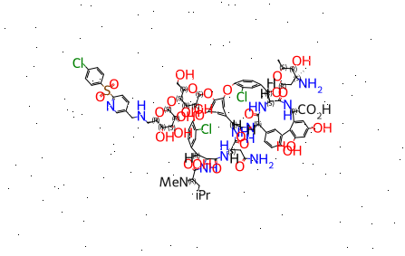 CN[C@H](CC(C)C)C(=O)NC1C(=O)N[C@@H](CC(N)=O)C(=O)N[C@H]2C(=O)N[C@H]3C(=O)N[C@H](C(=O)N[C@@H](C(=O)O)c4cc(O)cc(O)c4-c4cc3ccc4O)[C@H](O[C@H]3C[C@](C)(N)[C@@H](O)[C@H](C)O3)c3ccc(c(Cl)c3)Oc3cc2cc(c3O[C@@H]2O[C@H](CO)[C@@H](O[C@@H]3O[C@H](CNCc4ccc(S(=O)(=O)c5ccc(Cl)cc5)nc4)[C@H](O)[C@H](O)[C@H]3O)[C@H](O)[C@H]2O)Oc2ccc(cc2Cl)[C@H]1O